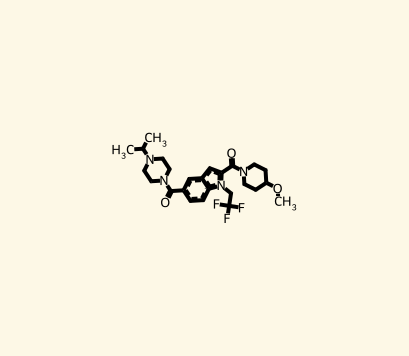 COC1CCN(C(=O)c2cc3cc(C(=O)N4CCN(C(C)C)CC4)ccc3n2CC(F)(F)F)CC1